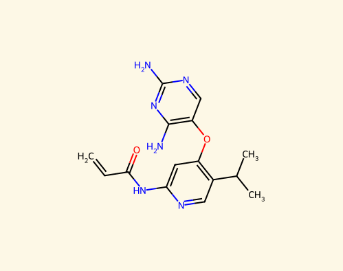 C=CC(=O)Nc1cc(Oc2cnc(N)nc2N)c(C(C)C)cn1